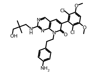 COc1cc(OC)c(Cl)c(-c2cc3cnc(NCC(C)(C)CO)nc3n(CCc3ccc(N)cc3)c2=O)c1Cl